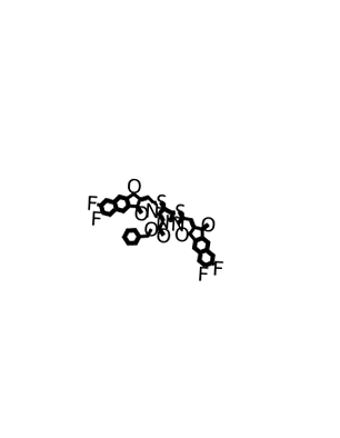 O=C1C(=Cc2nc3c(s2)c2sc(C=C4C(=O)c5cc6cc(F)c(F)cc6cc5C4=O)nc2n3C(=O)OCc2ccccc2)C(=O)c2cc3cc(F)c(F)cc3cc21